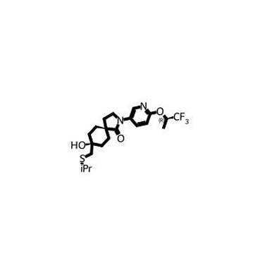 CC(C)SC[C@]1(O)CC[C@]2(CCN(c3ccc(O[C@H](C)C(F)(F)F)nc3)C2=O)CC1